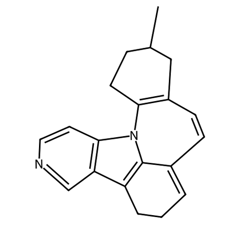 CC1CCC2=C(C=CC3=CCCc4c3n2c2ccncc42)C1